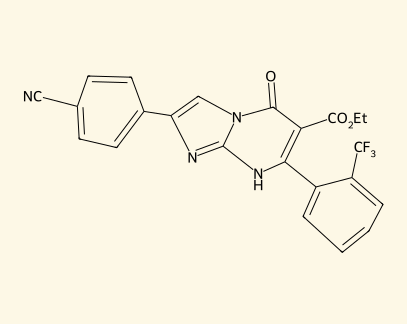 CCOC(=O)c1c(-c2ccccc2C(F)(F)F)[nH]c2nc(-c3ccc(C#N)cc3)cn2c1=O